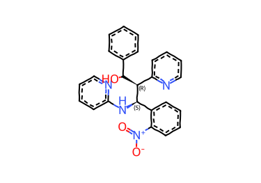 O=[N+]([O-])c1ccccc1[C@@H](Nc1ccccn1)[C@H](c1ccccn1)C(O)c1ccccc1